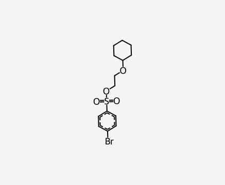 O=S(=O)(OCCOC1CCCCC1)c1ccc(Br)cc1